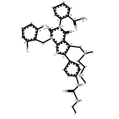 CCNC(=O)Nc1ccc(-c2sc3c(c2CN(C)CCOC)c(=O)n(-c2ccccc2C(N)=O)c(=O)n3Cc2c(F)cccc2F)cc1